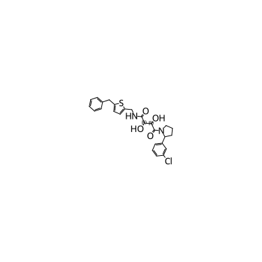 O=C(NCc1ccc(Cc2ccccc2)s1)[C@H](O)[C@@H](O)C(=O)N1CCCC1c1cccc(Cl)c1